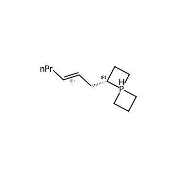 CCC/C=C/C[C@@H]1CC[PH]12CCC2